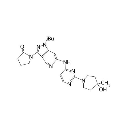 CCC(C)n1nc(N2CCCC2=O)c2cnc(Nc3ccnc(N4CCC(C)(O)CC4)n3)cc21